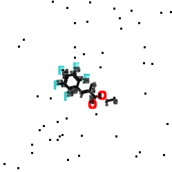 CCOC(=O)C(C)=Cc1c(F)c(F)c(F)c(F)c1F